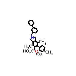 Cc1ccc(-c2c(C)c3c(c(C)c2[C@H](OC(C)(C)C)C(=O)O)CN(Cc2cccc(-c4ccccc4)c2)C3)cc1